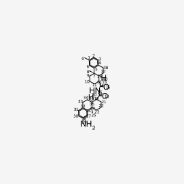 Cc1ccc2c(c1)[C@@]1(C)CCC[C@](C)(C(=O)NC(=O)[C@@]3(C)CCC[C@]4(C)c5cc(N)ccc5CC[C@@H]34)[C@@H]1CC2